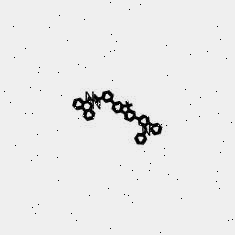 CC1(C)c2cc(-c3cccc(-c4cnc5c6ccccc6c6ccccc6c5n4)c3)ccc2-c2ccc(-c3ccc4c5ccccc5n(-c5ccccc5)c4c3)cc21